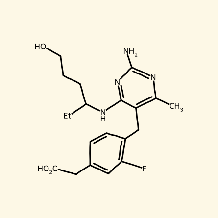 CCC(CCCO)Nc1nc(N)nc(C)c1Cc1ccc(CC(=O)O)cc1F